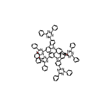 N#Cc1ccc(-n2c3ccc(-c4nc(-c5ccccc5)nc(-c5ccccc5)n4)cc3c3cc(-c4nc(-c5ccccc5)nc(-c5ccccc5)n4)ccc32)c(-c2ccc(-c3nc(-c4ccccc4)nc(-c4ccccc4)n3)cc2-n2c3ccc(-c4nc(-c5ccccc5)nc(-c5ccccc5)n4)cc3c3cc(-c4nc(-c5ccccc5)nc(-c5ccccc5)n4)ccc32)c1